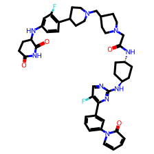 O=C1CCC(Nc2ccc(C3CCN(CC4CCN(CC(=O)N[C@H]5CC[C@H](Nc6ncc(F)c(-c7cccc(-n8ccccc8=O)c7)n6)CC5)CC4)CC3)c(F)c2)C(=O)N1